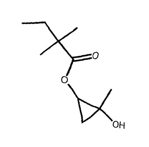 CCC(C)(C)C(=O)OC1CC1(C)O